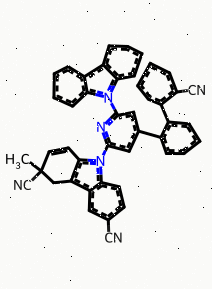 CC1(C#N)C=Cc2c(c3cc(C#N)ccc3n2-c2cc(-c3ccccc3-c3ccccc3C#N)cc(-n3c4ccccc4c4ccccc43)n2)C1